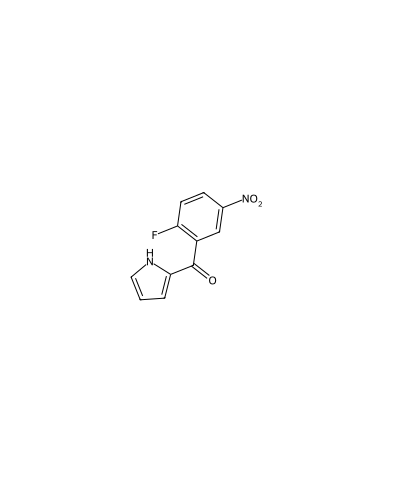 O=C(c1ccc[nH]1)c1cc([N+](=O)[O-])ccc1F